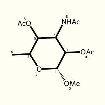 CO[C@@H]1OC(C)C(OC(C)=O)C(NC(C)=O)C1OC(C)=O